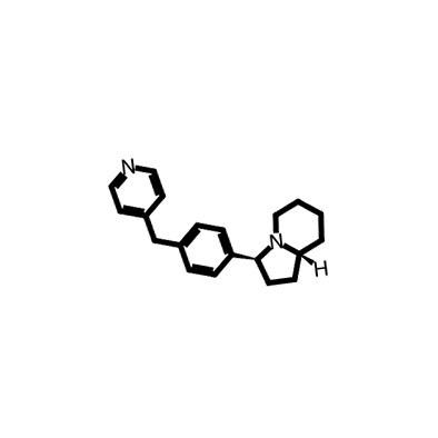 c1cc(Cc2ccc([C@@H]3CC[C@H]4CCCCN43)cc2)ccn1